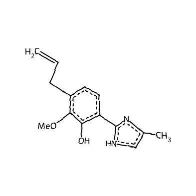 C=CCc1ccc(-c2nc(C)c[nH]2)c(O)c1OC